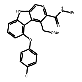 COCc1c(C(=O)NC(C)C)ncc2[nH]c3cccc(Oc4ccc(Cl)cc4)c3c12